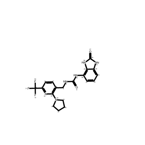 O=C(NCc1ccc(C(F)(F)F)nc1N1CCCC1)Nc1cccc2[nH]c(=O)[nH]c12